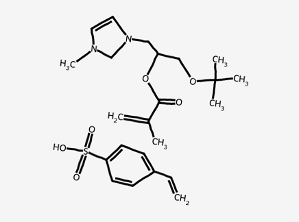 C=C(C)C(=O)OC(COC(C)(C)C)CN1C=CN(C)C1.C=Cc1ccc(S(=O)(=O)O)cc1